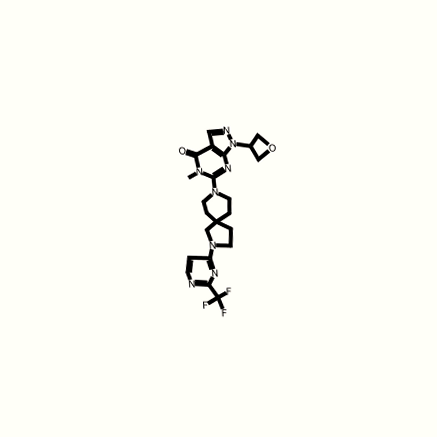 Cn1c(N2CCC3(CCN(c4ccnc(C(F)(F)F)n4)C3)CC2)nc2c(cnn2C2COC2)c1=O